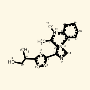 Cc1c2c(-c3noc(C(C)CO)n3)ncn2c2ccccc2[n+]1[O-]